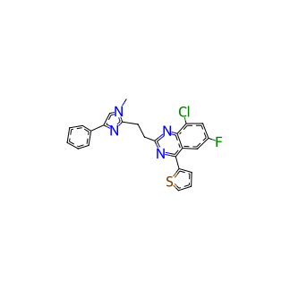 Cn1cc(-c2ccccc2)nc1CCc1nc(-c2cccs2)c2cc(F)cc(Cl)c2n1